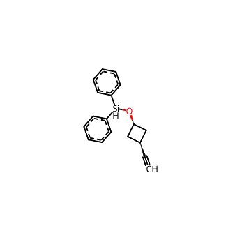 C#C[C@H]1C[C@@H](O[SiH](c2ccccc2)c2ccccc2)C1